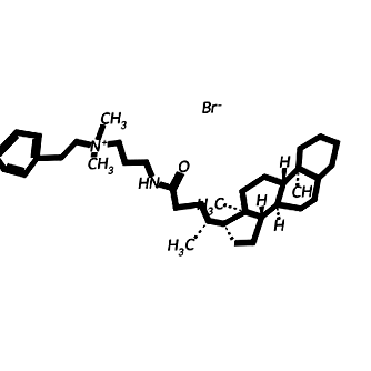 C[C@H](CCC(=O)NCCC[N+](C)(C)CCc1ccccc1)[C@H]1CC[C@H]2[C@@H]3CCC4CCCC[C@]4(C)[C@H]3CC[C@]12C.[Br-]